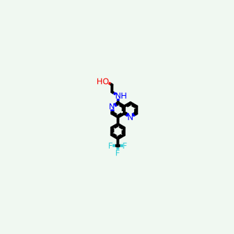 OCCNc1ncc(-c2ccc(C(F)(F)F)cc2)c2ncccc12